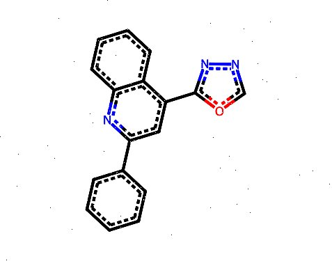 c1ccc(-c2cc(-c3nnco3)c3ccccc3n2)cc1